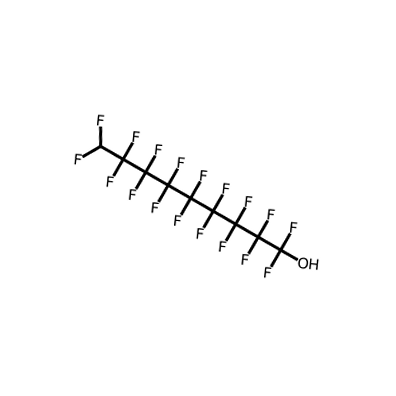 OC(F)(F)C(F)(F)C(F)(F)C(F)(F)C(F)(F)C(F)(F)C(F)(F)C(F)(F)C(F)F